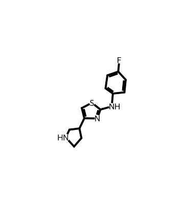 Fc1ccc(Nc2nc(C3CCNC3)cs2)cc1